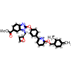 COC(=O)c1ccc2nc(Oc3ccc(-c4cccc(OCc5ccc(C)cc5C)n4)cc3)n(C[C@@H]3CCO3)c2c1